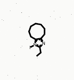 CCc1nc2c(n1I)CCCCCCC2